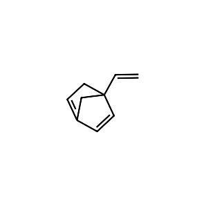 C=CC12C=CC(=CC1)C2